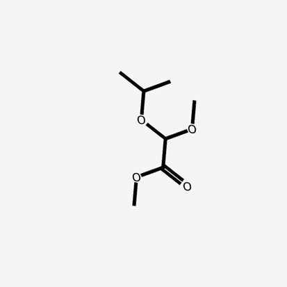 COC(=O)C(OC)OC(C)C